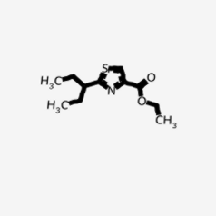 CCOC(=O)c1csc(C(CC)CC)n1